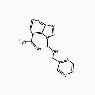 N=C(N)c1ccnc2ncn(CNCc3cnccn3)c12